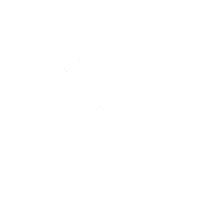 C1=Cc2c([nH]c3ccccc23)CC1.c1ccc2c(c1)CCCNN2